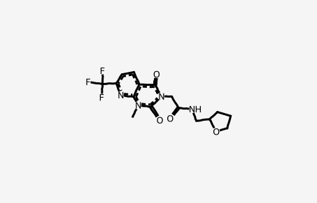 Cn1c(=O)n(CC(=O)NCC2CCCO2)c(=O)c2ccc(C(F)(F)F)nc21